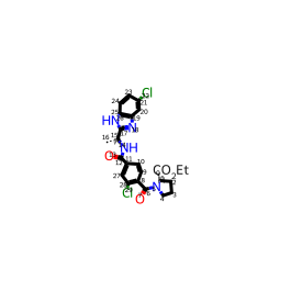 CCOC(=O)[C@@H]1CCCN1C(=O)c1ccc(C(=O)N[C@H](C)c2nc3cc(Cl)ccc3[nH]2)cc1Cl